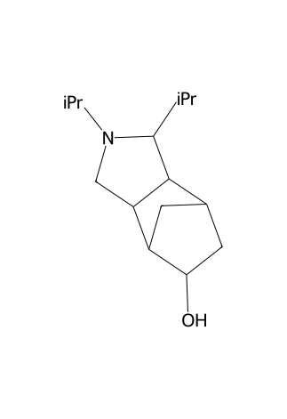 CC(C)C1C2C3CC(O)C(C3)C2CN1C(C)C